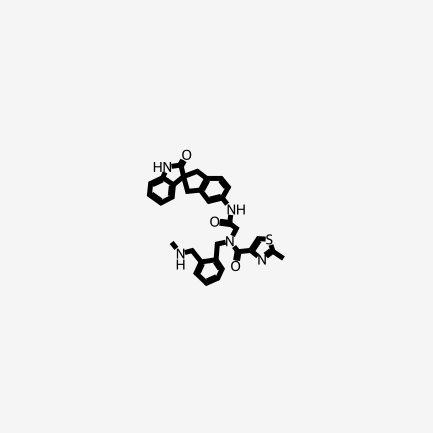 CNCc1ccccc1CN(CC(=O)Nc1ccc2c(c1)CC1(C2)C(=O)Nc2ccccc21)C(=O)c1csc(C)n1